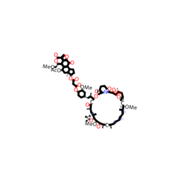 COC[C@H]1OC(=O)c2coc3c2[C@@]1(C)C1=C(C3=O)C2CC[C@H](OC(=O)CC(=O)O[C@@H]3CC[C@@H](C[C@@H](C)[C@@H]4CC(=O)[C@H](C)/C=C(\C)[C@@H](O[Si](C)(C)C)[C@@H](OC)C(=O)[C@H](C)C[C@H](C)/C=C/C=C/C=C(\C)[C@@H](OC)C[C@@H]5CC[C@@H](C)[C@@](O)(O5)C(=O)C(=O)N5CCCC[C@H]5C(=O)O4)C[C@H]3OC)[C@@]2(C)C[C@H]1OC(C)=O